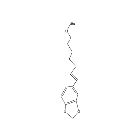 CCC(C)OCCCCC/C=C/c1ccc2c(c1)OCO2